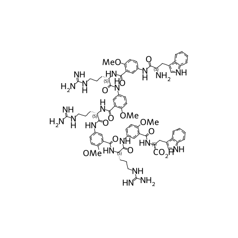 COc1ccc(NC(=O)[C@H](CCCNC(=N)N)NC(=O)c2cc(NC(=O)[C@H](CCCNC(=N)N)NC(=O)c3cc(NC(=O)[C@H](CCCNC(=N)N)NC(=O)c4cc(NC(=O)[C@@H](N)Cc5c[nH]c6ccccc56)ccc4OC)ccc3OC)ccc2OC)cc1C(=O)N[C@@H](Cc1c[nH]c2ccccc12)C(=O)O